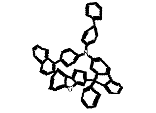 c1ccc(-c2ccc(N(c3ccc(-c4cccc5ccccc45)cc3)c3ccc4c(c3)C(c3ccccc3)(c3ccc5c(c3)oc3ccccc35)c3ccccc3-4)cc2)cc1